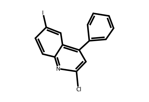 Clc1cc(-c2ccccc2)c2cc(I)ccc2n1